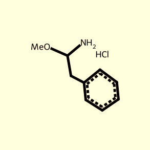 COC(N)Cc1ccccc1.Cl